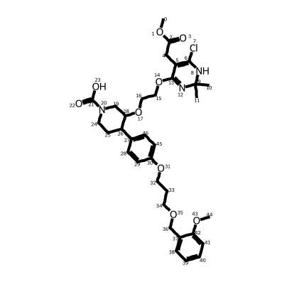 COC(=O)CC1=C(Cl)NC(C)(C)N=C1OCCOC1CN(C(=O)O)CCC1c1ccc(OCCCOCc2ccccc2OC)cc1